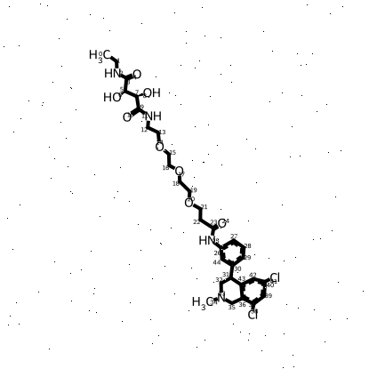 CCNC(=O)[C@H](O)[C@@H](O)C(=O)NCCOCCOCCOCCC(=O)Nc1cccc(C2CN(C)Cc3c(Cl)cc(Cl)cc32)c1